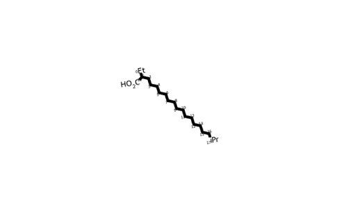 CCC(CCCCCCCCCCCCCCCC(C)C)C(=O)O